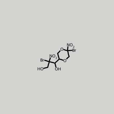 O=[N+]([O-])C1(Br)COC(C(O)C(Br)(CO)[N+](=O)[O-])CO1